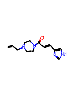 C=CCN1CCN(C(=O)C=Cc2c[nH]cn2)CC1